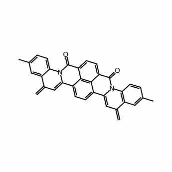 C=c1cc2c3ccc4c5c(ccc(c(=O)n2c2ccc(C)cc12)c35)c(=O)n1c2ccc(C)cc2c(=C)cc41